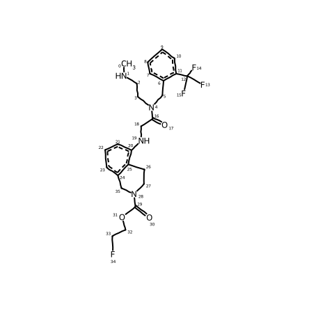 CNCCN(Cc1ccccc1C(F)(F)F)C(=O)CNc1cccc2c1CCN(C(=O)OCCF)C2